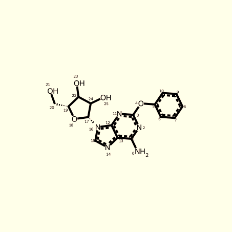 Nc1nc(Oc2ccccc2)nc2c1ncn2[C@@H]1O[C@H](CO)C(O)C1O